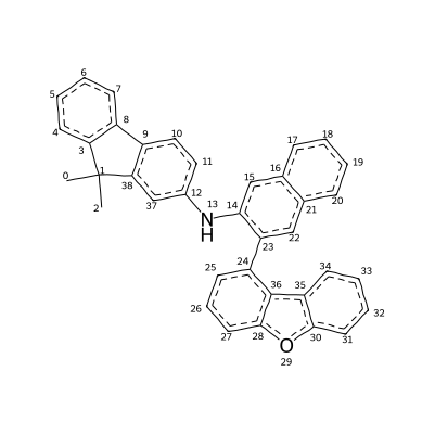 CC1(C)c2ccccc2-c2ccc(Nc3cc4ccccc4cc3-c3cccc4oc5ccccc5c34)cc21